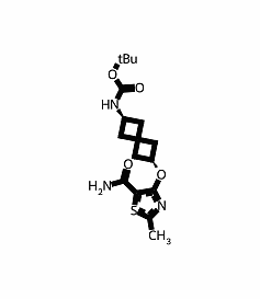 Cc1nc(O[C@H]2CC3(C[C@H](NC(=O)OC(C)(C)C)C3)C2)c(C(N)=O)s1